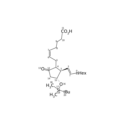 CCCCCCC=C[C@@H]1C(C/C=C\CCCC(=O)O)C(=O)C[C@H]1O[Si](C)(C)C(C)(C)C